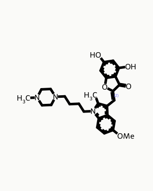 COc1ccc2c(c1)c(/C=C1\Oc3cc(O)cc(O)c3C1=O)c(C)n2CCCCN1CCN(C)CC1